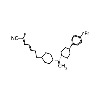 C=C([C@H]1CC[C@H](CC/C=C/C=C(\F)C#N)CC1)[C@H]1CC[C@H](c2ccc(CCC)cc2)CC1